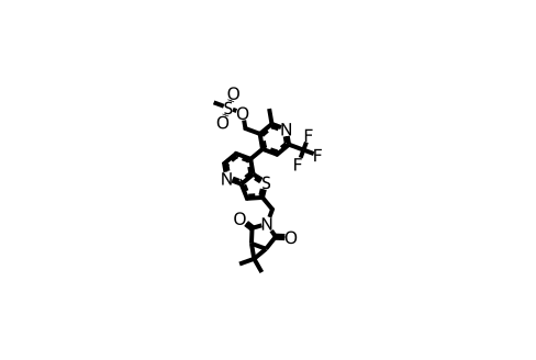 Cc1nc(C(F)(F)F)cc(-c2ccnc3cc(CN4C(=O)C5C(C4=O)C5(C)C)sc23)c1COS(C)(=O)=O